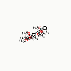 CO[Si](C)(C)C[Si](OC)(OC)C1C=CC(C[Si](C)(C[Si](OC)(OC)c2ccccc2)OC)=C1